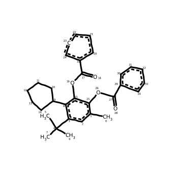 Cc1cc(C(C)(C)C)c(C2CCCCC2)c(OC(=O)c2ccccc2)c1OC(=O)c1ccccc1